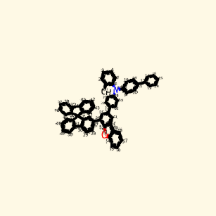 Cc1ccccc1N(c1ccc(-c2ccccc2)cc1)c1ccc(-c2cc(-c3ccc4c(c3)C3(c5ccccc5-c5ccccc53)c3ccccc3-4)c3oc4ccccc4c3c2)cc1